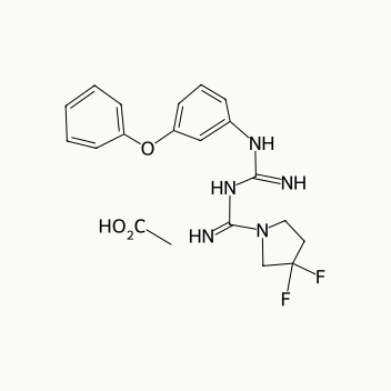 CC(=O)O.N=C(NC(=N)N1CCC(F)(F)C1)Nc1cccc(Oc2ccccc2)c1